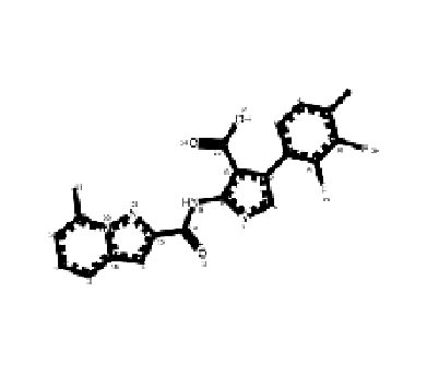 Cc1ccc(-c2csc(NC(=O)c3cc4cccc(C)n4n3)c2C(=O)O)c(F)c1F